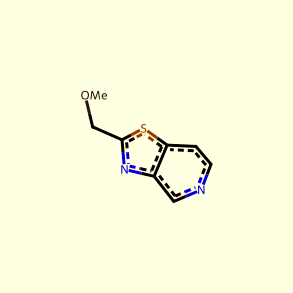 COCc1nc2cnccc2s1